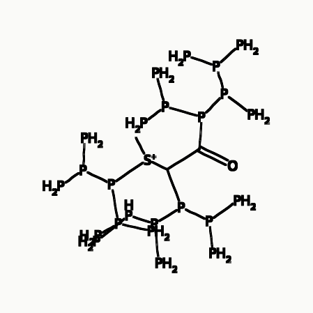 C[S+](C(C(=O)P(P(P)P)P(P)P(P)P)P(P(P)P)P(P)PP)P(P(P)P)P(P)P